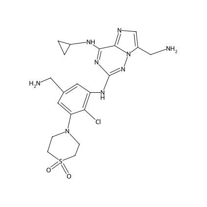 NCc1cc(Nc2nc(NC3CC3)c3ncc(CN)n3n2)c(Cl)c(N2CCS(=O)(=O)CC2)c1